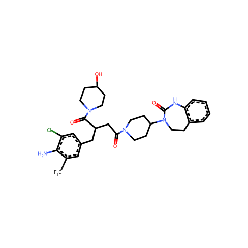 Nc1c(Cl)cc(CC(CC(=O)N2CCC(N3CCc4ccccc4NC3=O)CC2)C(=O)N2CCC(O)CC2)cc1C(F)(F)F